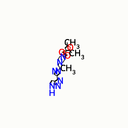 Cc1cc(S(=O)(=O)N2CCN(CC(C)n3cc(-c4ncnc5[nH]ccc45)cn3)CC2)c(C)o1